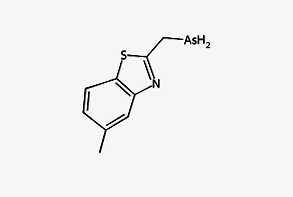 Cc1ccc2sc(C[AsH2])nc2c1